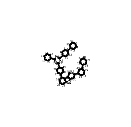 c1ccc(-c2ccc(-c3nc(-c4ccccc4)nc(-c4ccc(-c5cccc6oc7cc(-c8cccc(-c9ccccc9)c8)ncc7c56)cc4)n3)cc2)cc1